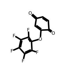 O=C1C=CC(=O)C(Oc2c(F)c(F)c(F)c(F)c2F)=C1